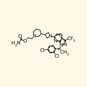 C[C@H](c1ccc(Cl)cc1Cl)n1nc(C(F)(F)F)c2ncc(N3CC(C4CCCN(CCOC(N)=O)C4)C3)nc21